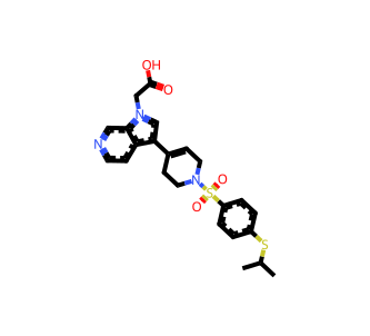 CC(C)Sc1ccc(S(=O)(=O)N2CC=C(c3cn(CC(=O)O)c4cnccc34)CC2)cc1